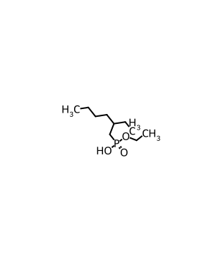 CCCCC(CC)CP(=O)(O)OCC